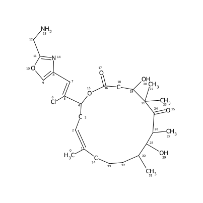 CC1=CCC(C(Cl)=Cc2coc(CN)n2)OC(=O)CC(O)C(C)(C)C(=O)C(C)C(O)C(C)CCC1